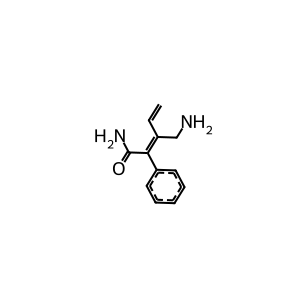 C=CC(CN)=C(C(N)=O)c1ccccc1